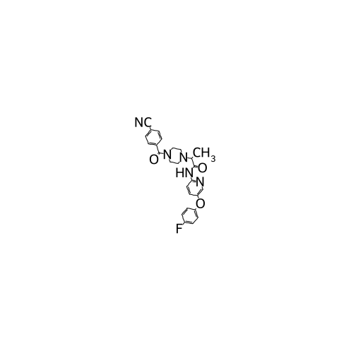 CC(C(=O)Nc1ccc(Oc2ccc(F)cc2)cn1)N1CCN(C(=O)c2ccc(C#N)cc2)CC1